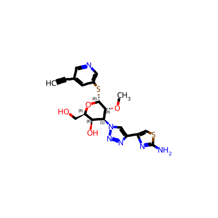 C#Cc1cncc(S[C@H]2O[C@H](CO)[C@H](O)[C@H](n3cc(-c4csc(N)n4)nn3)[C@H]2OC)c1